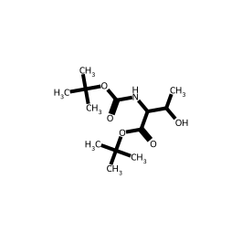 CC(O)C(NC(=O)OC(C)(C)C)C(=O)OC(C)(C)C